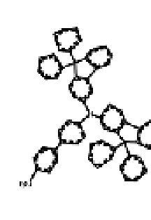 CC(C)(C)c1ccc(-c2ccc(N(c3ccc4c(c3)-c3ccccc3C4(c3ccccc3)c3ccccc3)c3ccc4c(c3)C(c3ccccc3)(c3ccccc3)c3ccccc3-4)cc2)cc1